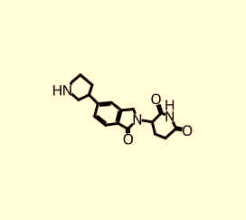 O=C1CCC(N2Cc3cc(C4CCCNC4)ccc3C2=O)C(=O)N1